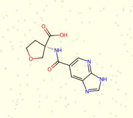 O=C(N[C@@]1(C(=O)O)CCOC1)c1cnc2[nH]cnc2c1